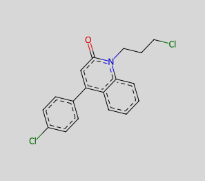 O=c1cc(-c2ccc(Cl)cc2)c2ccccc2n1CCCCl